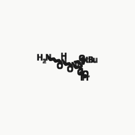 CC(C)C(=O)OCC1CN(C(=O)CCNC(=O)CCCCN)CCN1CC(=O)C(C)(C)C